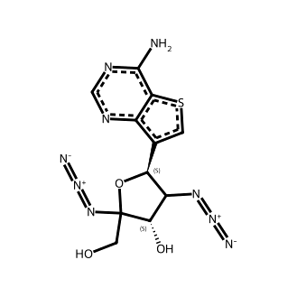 [N-]=[N+]=NC1[C@H](c2csc3c(N)ncnc23)OC(CO)(N=[N+]=[N-])[C@H]1O